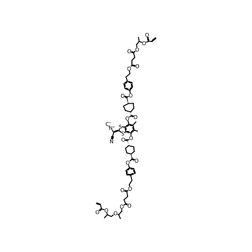 [C-]#[N+]/C(C#N)=C1/Sc2c(OC(=O)[C@H]3CC[C@H](C(=O)Oc4ccc(CCOC(=O)CCC(=O)OCC(C)OCC(C)OC(=O)C=C)cc4)CC3)c(C)c(C)c(OC(=O)[C@H]3CC[C@H](C(=O)Oc4ccc(CCOC(=O)CCC(=O)OCC(C)OC(=O)C=C)cc4)CC3)c2S1